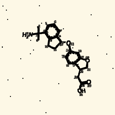 CC(C)(N)c1cccc2c1CC[C@H]2Oc1ccc2c(c1)OC[C@H]2CC(=O)O